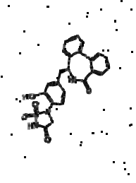 O=C1CN(c2ccc(C[C@@H]3NC(=O)c4ccccc4-c4ccccc43)cc2O)S(=O)(=O)N1